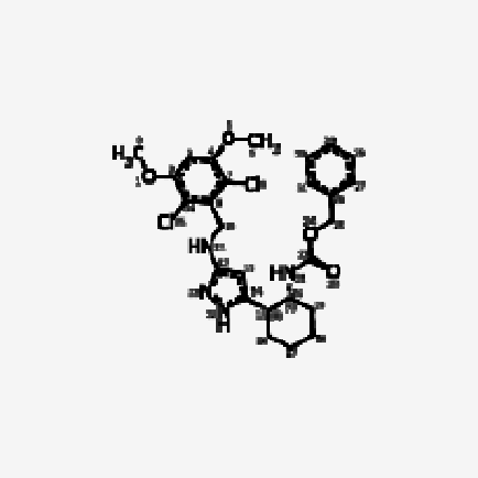 COc1cc(OC)c(Cl)c(CNc2cc([C@@H]3CCCC[C@H]3NC(=O)OCc3ccccc3)[nH]n2)c1Cl